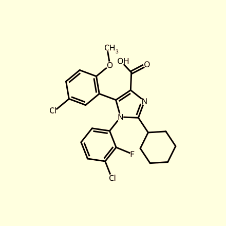 COc1ccc(Cl)cc1-c1c(C(=O)O)nc(C2CCCCC2)n1-c1cccc(Cl)c1F